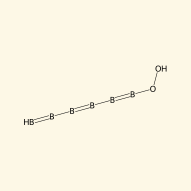 B=BB=BB=BOO